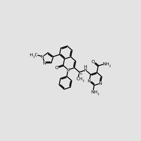 C[C@H](Nc1nc(N)ncc1C(N)=O)c1cc2cccc(-c3cnn(C)c3)c2c(=O)n1-c1ccccc1